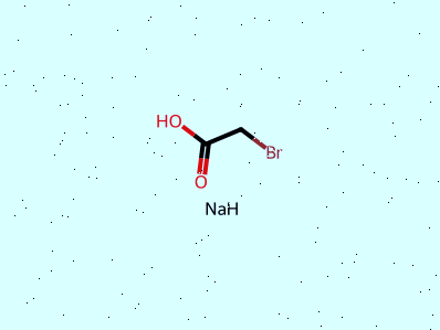 O=C(O)CBr.[NaH]